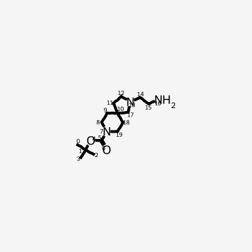 CC(C)(C)OC(=O)N1CCC2(CCN(CCN)C2)CC1